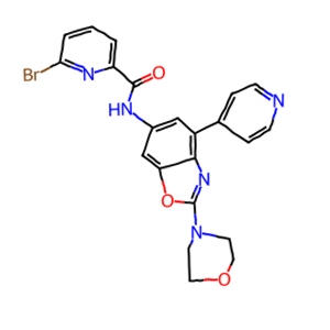 O=C(Nc1cc(-c2ccncc2)c2nc(N3CCOCC3)oc2c1)c1cccc(Br)n1